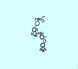 C=CC(=O)NC1CC=C(c2ccc3ncnc(Nc4ccc(Oc5ccc6c(c5)nnn6C)c(C)c4)c3n2)CC1